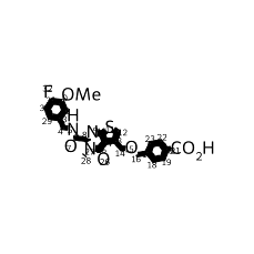 COc1cc(CNC(=O)c2nc3scc(COCc4ccc(C(=O)O)cc4)c3c(=O)n2C)ccc1F